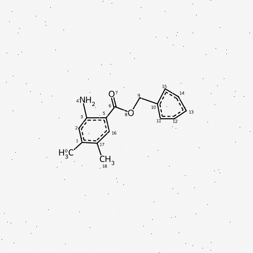 Cc1cc(N)c(C(=O)OCc2ccccc2)cc1C